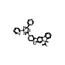 CC(C)C1(C)c2ccccc2-c2cc3c(cc21)oc1ccc(-c2nc(-c4ccccc4)nc(-c4ccccn4)n2)cc13